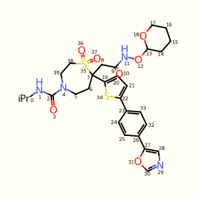 CC(C)NC(=O)N1CCC(CC(=O)NOC2CCCCO2)(c2ccc(-c3ccc(-c4cnco4)cc3)s2)S(=O)(=O)CC1